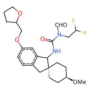 CO[C@H]1CC[C@]2(CC1)Cc1ccc(OCC3CCCO3)cc1C2NC(=O)N(C=O)CC(F)F